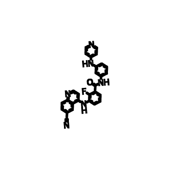 N#Cc1ccc2nccc(Nc3cccc(C(=O)Nc4cccc(Nc5ccncc5)c4)c3F)c2c1